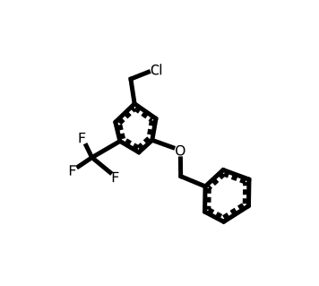 FC(F)(F)c1cc(CCl)cc(OCc2ccccc2)c1